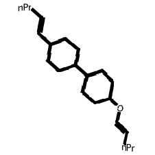 CCCC=COC1CCC(C2CCC(C=CCCC)CC2)CC1